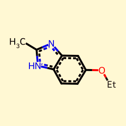 [CH2]COc1ccc2[nH]c(C)nc2c1